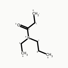 [CH2]CC(=O)N(CC)CCC